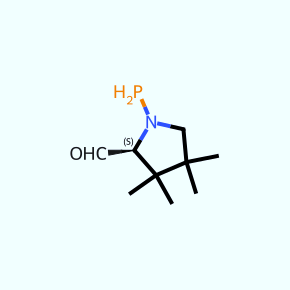 CC1(C)CN(P)[C@H](C=O)C1(C)C